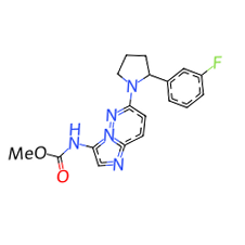 COC(=O)Nc1cnc2ccc(N3CCCC3c3cccc(F)c3)nn12